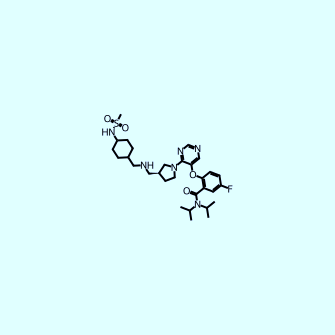 CC(C)N(C(=O)c1cc(F)ccc1Oc1cncnc1N1CC[C@@H](CNCC2CCC(NS(C)(=O)=O)CC2)C1)C(C)C